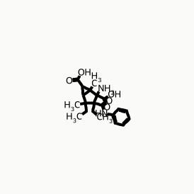 CCC1(C)C2C(C(=O)O)C2(C)C(N)(C(=O)O)C1(CC)C(=O)Nc1ccccc1